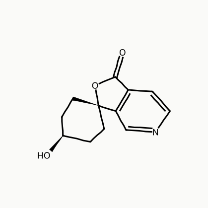 O=C1O[C@]2(CC[C@H](O)CC2)c2cnccc21